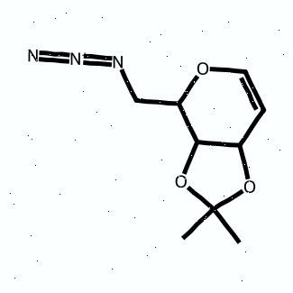 CC1(C)OC2C=COC(CN=[N+]=[N-])C2O1